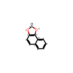 B1Oc2ccc3ccccc3c2O1